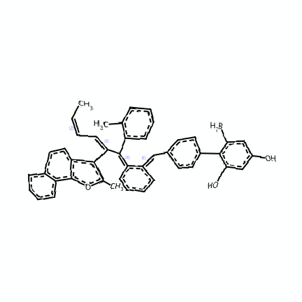 Bc1cc(O)cc(O)c1-c1ccc(\C=c2/cccc/c2=C(\C(=C\C=C/C)c2c(C)oc3c2ccc2ccccc23)c2ccccc2C)cc1